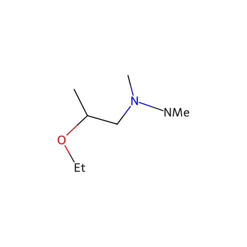 CCOC(C)CN(C)NC